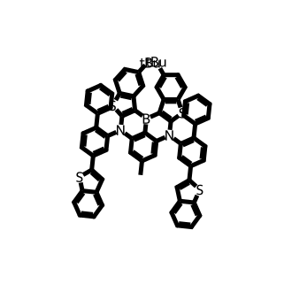 Cc1cc2c3c(c1)N(c1cc(-c4cc5ccccc5s4)ccc1-c1ccccc1)c1sc4ccc(C(C)(C)C)cc4c1B3c1c(sc3ccc(C(C)(C)C)cc13)N2c1cc(-c2cc3ccccc3s2)ccc1-c1ccccc1